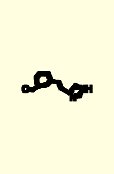 O=Cc1cccc(/C=C/c2c[nH]cn2)c1